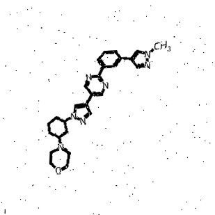 Cn1cc(-c2cccc(-c3ncc(-c4cnn(C5CCCC(N6CCOCC6)C5)c4)cn3)c2)cn1